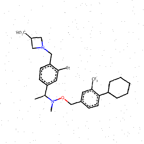 CCc1cc(C(C)N(C)OCc2ccc(C3CCCCC3)c(C(F)(F)F)c2)ccc1CN1CC(C(=O)O)C1